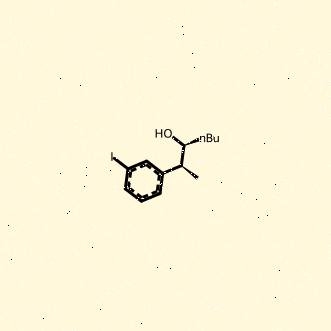 CCCC[C@H](O)[C@@H](C)c1cccc(I)c1